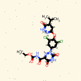 CCOC(=O)NC(=O)c1nn(-c2cc(Cl)c(Oc3cc(C(C)C)c(=O)[nH]n3)c(Cl)c2)c(=O)[nH]c1=O